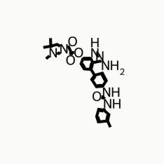 Cc1cccc(NC(=O)Nc2ccc(-c3ccc(OC(=O)C(=O)N4CN(C)C(C)(C)C4)c4[nH]nc(N)c34)cc2)c1